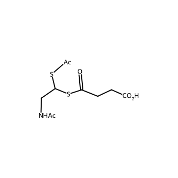 CC(=O)NCC(SC(C)=O)SC(=O)CCC(=O)O